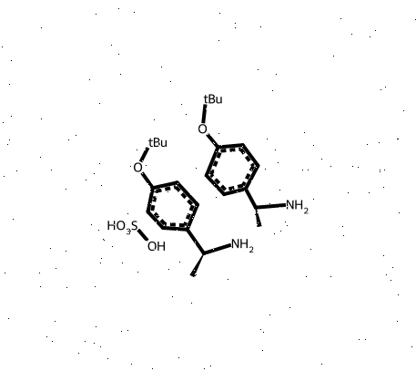 C[C@H](N)c1ccc(OC(C)(C)C)cc1.C[C@H](N)c1ccc(OC(C)(C)C)cc1.O=S(=O)(O)O